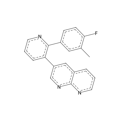 Cc1cc(-c2ncccc2-c2cnc3ncccc3c2)ccc1F